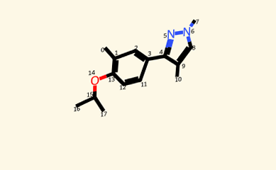 Cc1cc(-c2nn(C)cc2C)ccc1OC(C)C